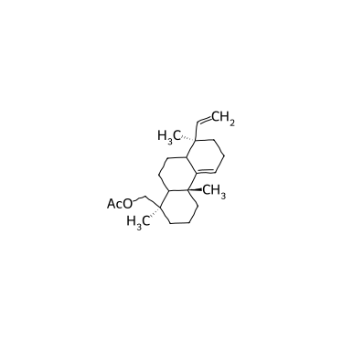 C=C[C@@]1(C)CCC=C2C1CCC1[C@](C)(COC(C)=O)CCC[C@@]21C